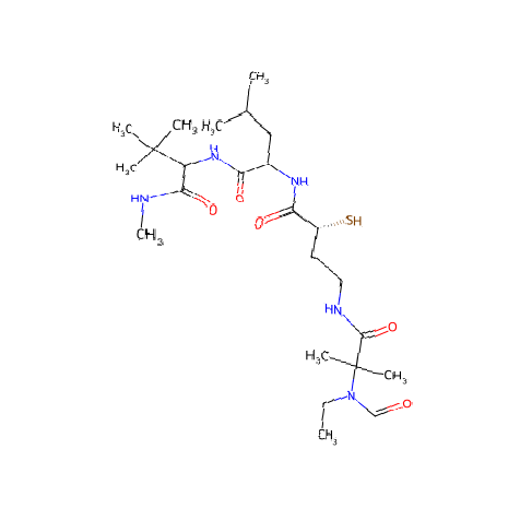 CCN(C=O)C(C)(C)C(=O)NCC[C@@H](S)C(=O)NC(CC(C)C)C(=O)NC(C(=O)NC)C(C)(C)C